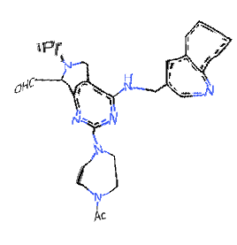 CC(=O)N1CCN(c2nc(NCc3cnc4ccccc4c3)c3c(n2)C(C=O)N(C(C)C)C3)CC1